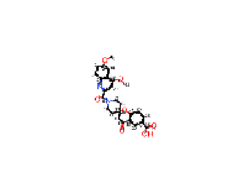 COc1ccc2nc(C(=O)N3CCC4(CC3)CC(=O)c3cc(C(=O)O)ccc3O4)cc(OC)c2c1